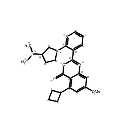 COc1cc(C2CCC2)c2c(=O)oc(-c3cccnc3N3CCC(N(C)C)C3)nc2c1